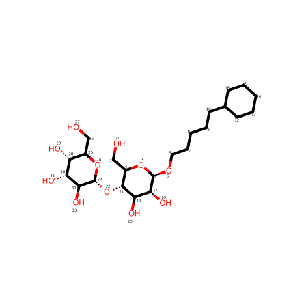 OCC1O[C@@H](OCCCCCC2CCCCC2)[C@@H](O)C(O)[C@@H]1O[C@H]1OC(CO)[C@@H](O)[C@@H](O)C1O